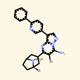 CC(=O)c1c(C2CC3CC[C@@H](C2)N3S(=O)(=O)O)nc2c(-c3ccc(-c4ccccc4)nc3)cnn2c1N